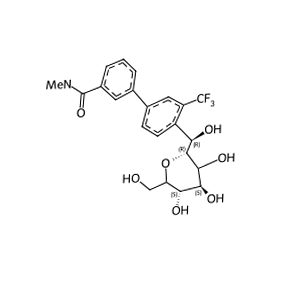 CNC(=O)c1cccc(-c2ccc([C@@H](O)[C@H]3OC(CO)[C@@H](O)[C@H](O)C3O)c(C(F)(F)F)c2)c1